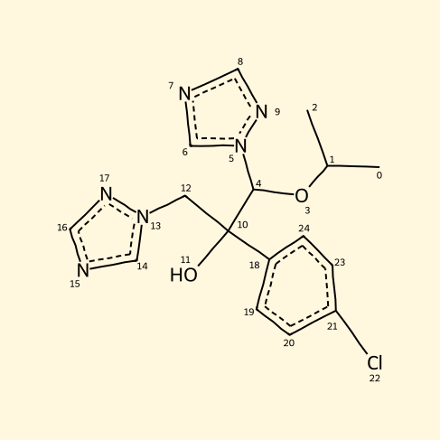 CC(C)OC(n1cncn1)C(O)(Cn1cncn1)c1ccc(Cl)cc1